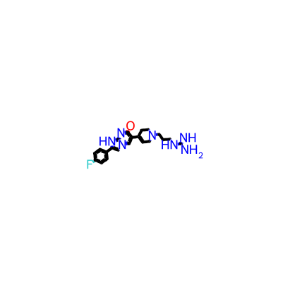 N=C(N)NCCCN1CC=C(c2cn3cc(-c4ccc(F)cc4)[nH]c3nc2=O)CC1